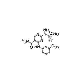 CCOc1cccc(Nc2nc(N(N)[C@@H](C=O)C(C)C)ncc2C(N)=O)c1